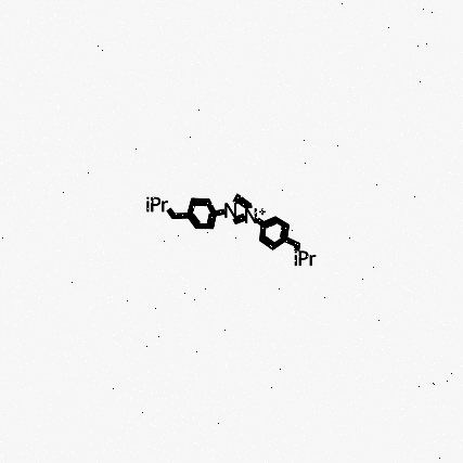 CC(C)Cc1ccc(-n2cc[n+](-c3ccc(CC(C)C)cc3)c2)cc1